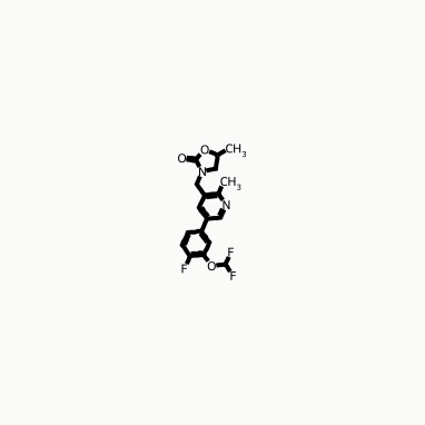 Cc1ncc(-c2ccc(F)c(OC(F)F)c2)cc1CN1CC(C)OC1=O